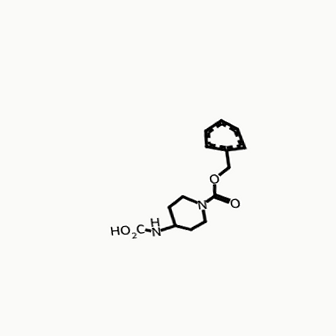 O=C(O)NC1CCN(C(=O)OCc2ccccc2)CC1